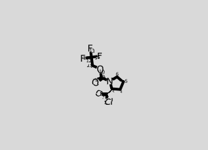 O=C(Cl)[C@@H]1CCCN1C(=O)OCC(F)(F)F